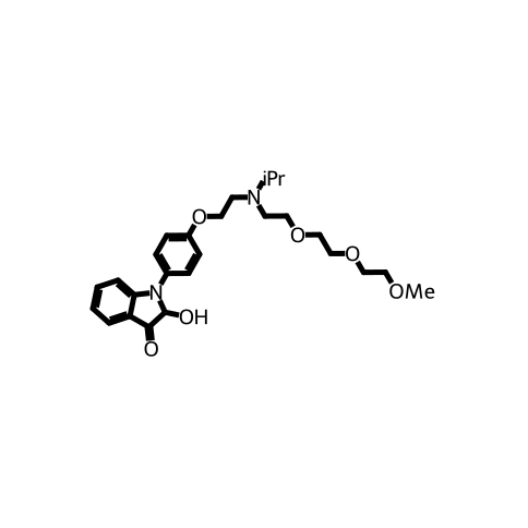 COCCOCCOCCN(CCOc1ccc(N2c3ccccc3C(=O)C2O)cc1)C(C)C